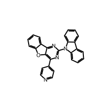 c1ccc2c(c1)oc1c(-c3ccncc3)nc(-n3c4ccccc4c4ccccc43)nc12